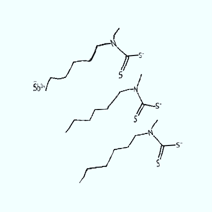 CCCCCCN(C)C(=S)[S-].CCCCCCN(C)C(=S)[S-].CCCCCCN(C)C(=S)[S-].[Sb+3]